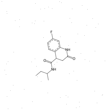 CCC(C)NC(=O)C1CC(=O)Nc2cc(F)ccc21